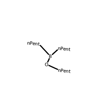 CCCCCOB(CCCCC)CCCCC